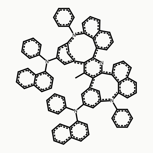 Cc1c2c3cc(N(c4ccccc4)c4cccc5ccccc45)cc(c3)n(-c3ccccc3)c3cccc4cccc(c2nc2c5cccc6cccc(c65)n(-c5ccccc5)c5cc(N(c6ccccc6)c6cccc7ccccc67)cc(c5)c12)c43